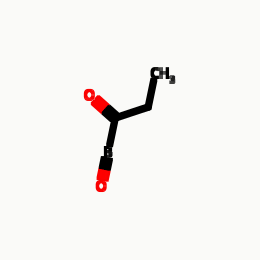 CCC(=O)B=O